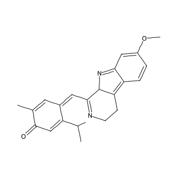 COc1ccc2c(c1)=NC1C(/C=C3/C=C(C)C(=O)C=C3C(C)C)=NCCC=21